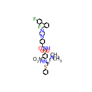 CN(C)CC[C@H](CSc1ccccc1)Nc1ccc(S(=O)(=O)NC(=O)c2ccc(N3CCN(Cc4ccccc4-c4ccc(F)cc4F)CC3)cc2)cc1[N+](=O)[O-]